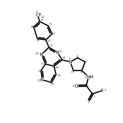 C=C(F)C(=O)NC1CCN(c2nc(-c3ccc(C(F)(F)F)cc3)nc3cnccc23)C1